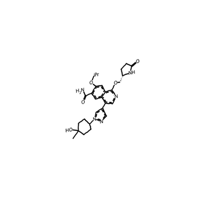 CC(C)Oc1cc2c(OC[C@@H]3CCC(=O)N3)ncc(-c3cnn(C4CCC(C)(O)CC4)c3)c2cc1C(N)=O